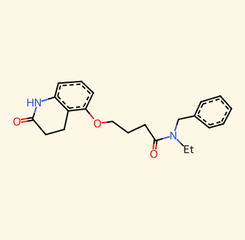 CCN(Cc1ccccc1)C(=O)CCCOc1cccc2c1CCC(=O)N2